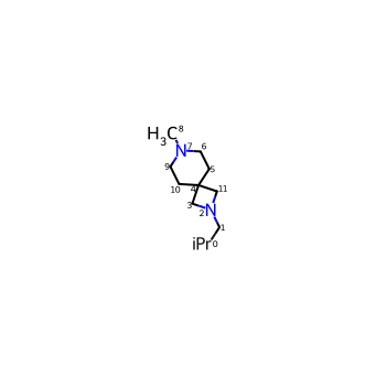 CC(C)CN1CC2(CCN(C)CC2)C1